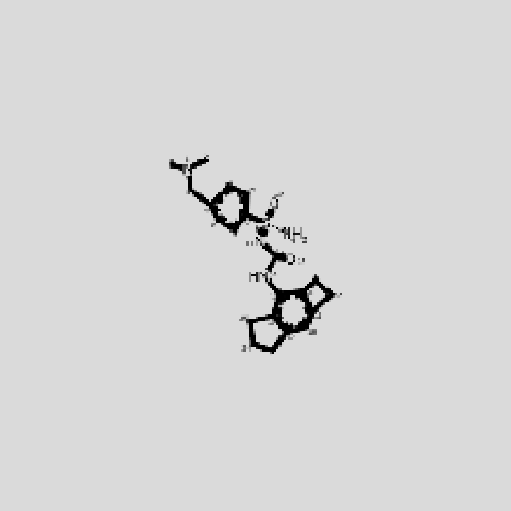 CN(C)Cc1ccc([S@@](N)(=O)=NC(=O)Nc2c3c(cc4c2CC4)CCC3)cc1